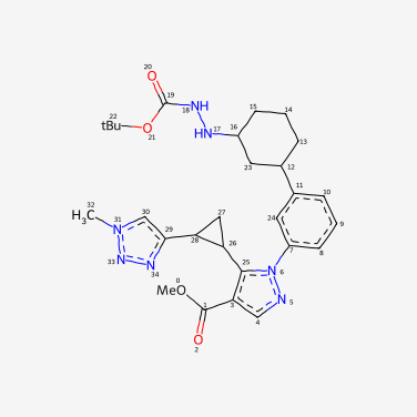 COC(=O)c1cnn(-c2cccc(C3CCCC(NNC(=O)OC(C)(C)C)C3)c2)c1C1CC1c1cn(C)nn1